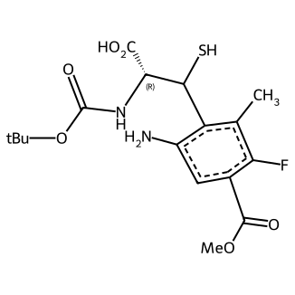 COC(=O)c1cc(N)c(C(S)[C@H](NC(=O)OC(C)(C)C)C(=O)O)c(C)c1F